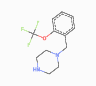 FC(F)(F)Oc1ccccc1CN1CCNCC1